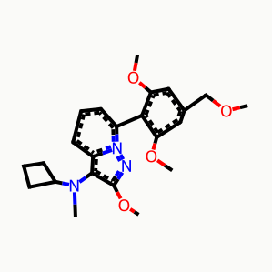 COCc1cc(OC)c(-c2cccc3c(N(C)C4CCC4)c(OC)nn23)c(OC)c1